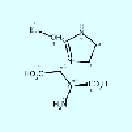 C1=NCCN1.CCO.N[C@@H](CC(=O)O)C(=O)O